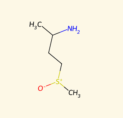 CC(N)CC[S+](C)[O-]